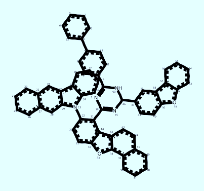 c1ccc(-c2ccc(C3=NC(c4c(-n5c6ccccc6c6cc7ccccc7cc65)ccc5oc6c7ccccc7ccc6c45)=NC(c4ccc5oc6ccccc6c5c4)N3)cc2)cc1